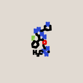 Cn1ncnc1COc1nn2c(-c3cccnc3)nncc2c1-c1ccccc1F